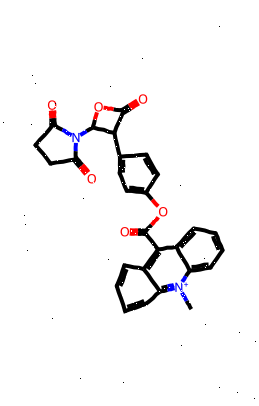 C[n+]1c2ccccc2c(C(=O)Oc2ccc(C3C(=O)OC3N3C(=O)CCC3=O)cc2)c2ccccc21